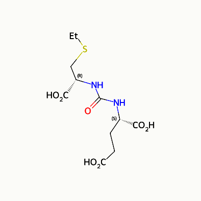 CCSC[C@H](NC(=O)N[C@@H](CCC(=O)O)C(=O)O)C(=O)O